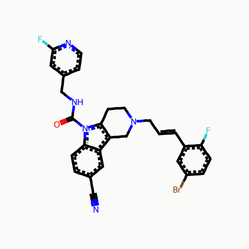 N#Cc1ccc2c(c1)c1c(n2C(=O)NCc2ccnc(F)c2)CCN(C/C=C/c2cc(Br)ccc2F)C1